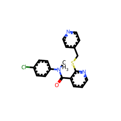 CN(C(=O)c1cccnc1SCc1ccncc1)c1ccc(Cl)cc1